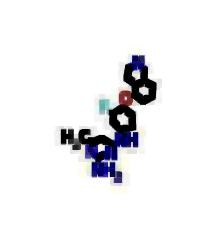 Cc1cc(Nc2ccc(Oc3cccc4cnccc34)c(F)c2)nc(N)n1